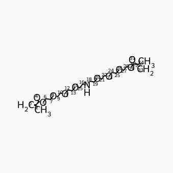 C=C(C)C(=O)OCCOCCOCCOCCNCCOCCOCCOCCOC(=O)C(=C)C